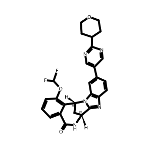 O=C1N[C@@H]2C[C@H](c3c(OC(F)F)cccc31)n1c2nc2ccc(-c3cnc(C4CCOCC4)nc3)cc21